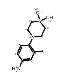 Cc1cc(N)ccc1N1CCS(O)(O)CC1